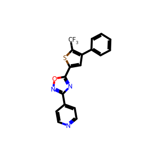 FC(F)(F)c1sc(-c2nc(-c3ccncc3)no2)cc1-c1ccccc1